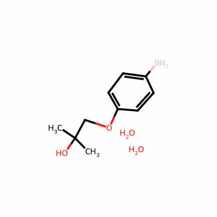 Bc1ccc(OCC(C)(C)O)cc1.O.O